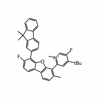 Cc1ccc2c(oc3c(-c4ccc5c(c4)C(C)(C)c4ccccc4-5)c(F)ccc32)c1-c1cc(C(C)(C)C)c(F)c[n+]1C